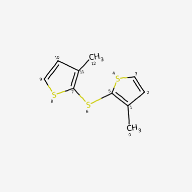 Cc1ccsc1Sc1sccc1C